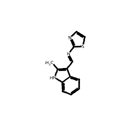 Cc1[nH]c2ccccc2c1C=Nc1nccs1